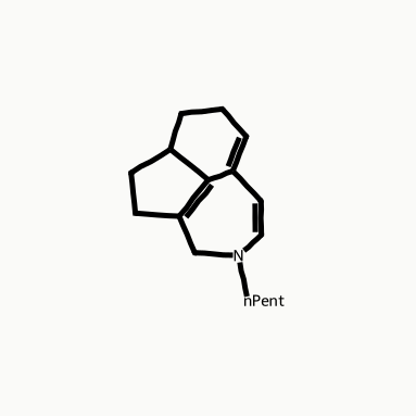 CCCCCN1C=CC2=CCCC3CCC(=C23)C1